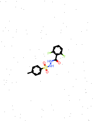 Cc1ccc(S(=O)(=O)NNC(=O)c2c(F)cccc2F)cc1